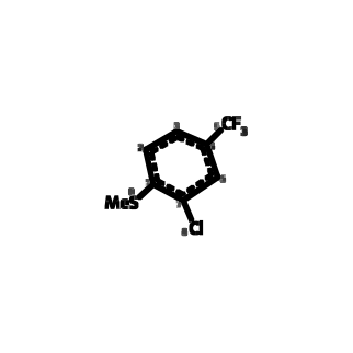 CSc1[c]cc(C(F)(F)F)cc1Cl